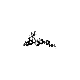 Cc1c(OC(=O)C(F)(F)F)c(-c2ncc3cc(N4CC[C@H](N)C4)cnc3n2)cc2cn(C)nc12